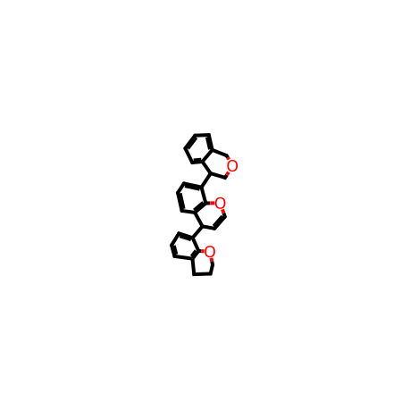 C1=CC(c2cccc3c2OCCC3)c2cccc(C3COCc4ccccc43)c2O1